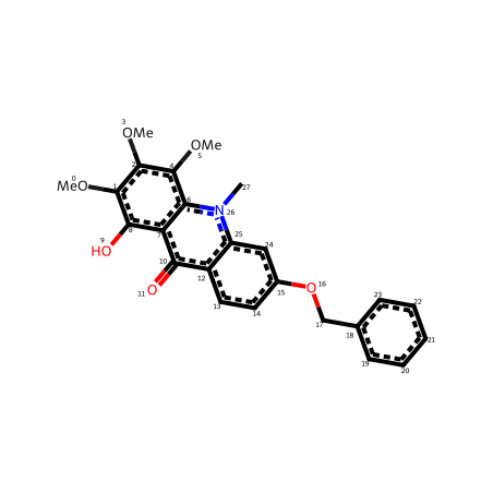 COc1c(OC)c(OC)c2c(c1O)c(=O)c1ccc(OCc3ccccc3)cc1n2C